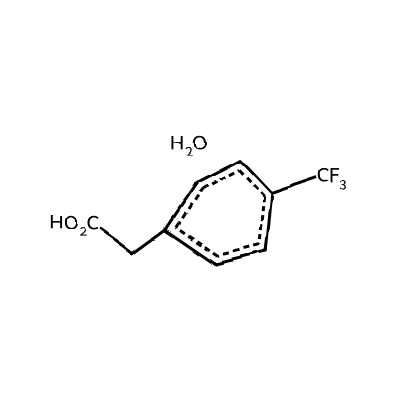 O.O=C(O)Cc1ccc(C(F)(F)F)cc1